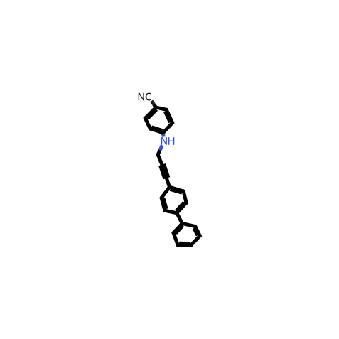 N#Cc1ccc(NCC#Cc2ccc(-c3ccccc3)cc2)cc1